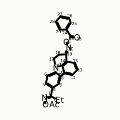 CC/C(=N\OC(C)=O)c1ccc2c(c1)c1cccc3c1n2CC/C3=N\OC(=O)c1ccccc1